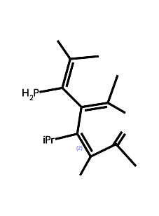 C=C(C)/C(C)=C(\C(=C(C)C)C(P)=C(C)C)C(C)C